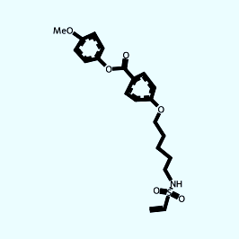 C=CS(=O)(=O)NCCCCCOc1ccc(C(=O)Oc2ccc(OC)cc2)cc1